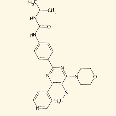 CSc1c(-c2ccncc2)nc(-c2ccc(NC(=O)NC(C)C)cc2)nc1N1CCOCC1